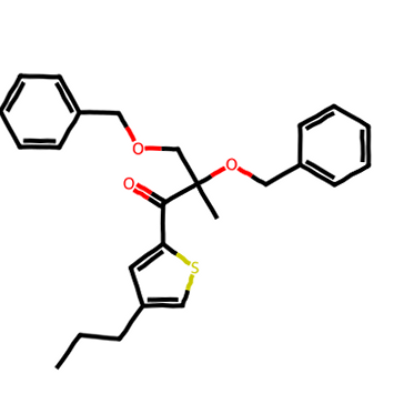 CCCc1csc(C(=O)C(C)(COCc2ccccc2)OCc2ccccc2)c1